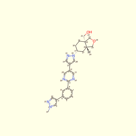 Cn1cc(-c2cccc(-c3ncc(-c4cnn([C@@H]5CC[C@@]6(CO)COC[C@@H]6C5)c4)cn3)c2)cn1